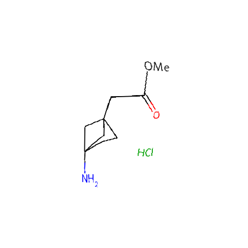 COC(=O)CC12CC(N)(C1)C2.Cl